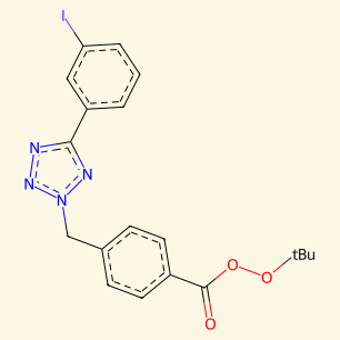 CC(C)(C)OOC(=O)c1ccc(Cn2nnc(-c3cccc(I)c3)n2)cc1